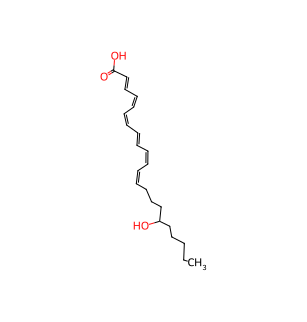 CCCCCC(O)CCC\C=C/C=C\C=C\C=C/C=C\C=C\C(=O)O